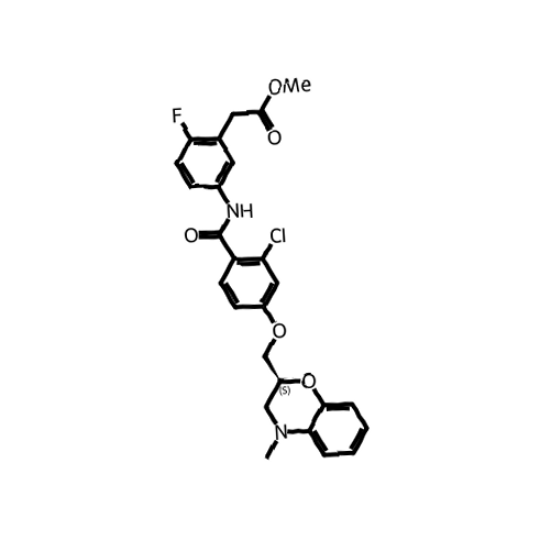 COC(=O)Cc1cc(NC(=O)c2ccc(OC[C@@H]3CN(C)c4ccccc4O3)cc2Cl)ccc1F